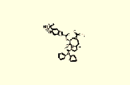 CC(=O)N1CC[C@H]2CC[C@@H](C(=O)N(c3ccccc3)c3ccccc3)N2C(=O)[C@@H](NC(=O)c2cc3cc(C(F)(F)P(=O)(O)O)ccc3[nH]2)C1